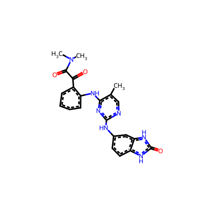 Cc1cnc(Nc2ccc3[nH]c(=O)[nH]c3c2)nc1Nc1ccccc1C(=O)C(=O)N(C)C